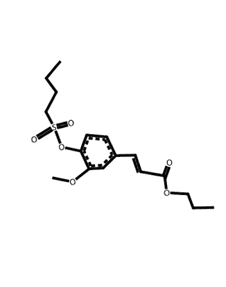 CCCCS(=O)(=O)Oc1ccc(C=CC(=O)OCCC)cc1OC